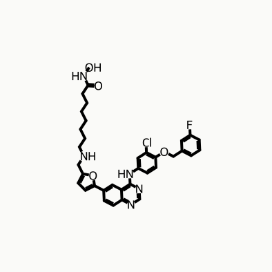 O=C(CCCCCCCNCc1ccc(-c2ccc3ncnc(Nc4ccc(OCc5cccc(F)c5)c(Cl)c4)c3c2)o1)NO